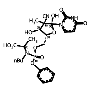 CCCCN([C@H](C)C(=O)O)[P@@](=O)(OC[C@H]1O[C@@](O)(n2ccc(=O)[nH]c2=O)[C@](C)(C#N)[C@@H]1O)Oc1ccccc1